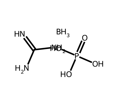 B.N=C(N)N.O=P(O)(O)O